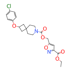 CCOC(=O)c1cc(COC(=O)N2CCC3(CC2)CC(Oc2ccc(Cl)cc2)C3)on1